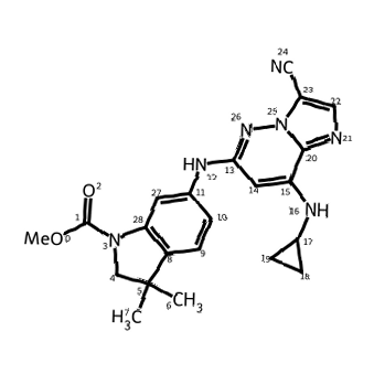 COC(=O)N1CC(C)(C)c2ccc(Nc3cc(NC4CC4)c4ncc(C#N)n4n3)cc21